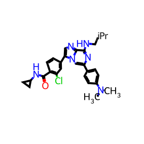 CC(C)CNc1nc(-c2ccc(N(C)C)cc2)cn2c(-c3ccc(C(=O)NC4CC4)c(Cl)c3)cnc12